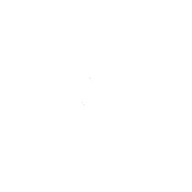 C1CCC(C2CCC(N3C4CCCCC4C4C5C6CCCCC6N(C6CCC7CCCCC7C6)C5CCC43)CC2)CC1